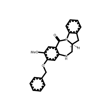 COc1cc2c(cc1OCc1ccccc1)NC[C@@H]1Cc3ccccc3N1C2=O